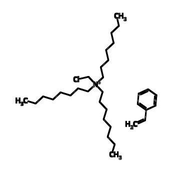 C=Cc1ccccc1.CCCCCCCC[N+](CCl)(CCCCCCCC)CCCCCCCC